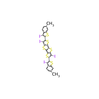 Cc1ccc2c(I)c(-c3sc4c(sc5c6sc(-c7sc8cc(C)ccc8c7I)c(I)c6sc45)c3I)sc2c1